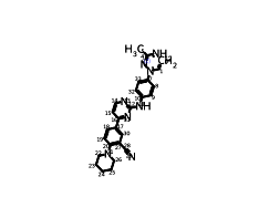 C=CN(/N=C(/C)N)c1ccc(Nc2nccc(-c3ccc(N4CCCCC4)c(C#N)c3)n2)cc1